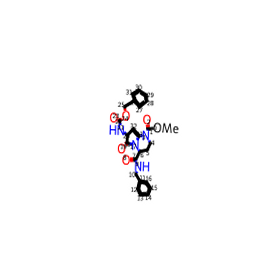 COC(=O)N1CCC(C(=O)NCc2ccccc2)N2C(=O)C(NC(=O)OCc3ccccc3)C=C12